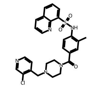 Cc1cc(C(=O)N2CCN(Cc3ccncc3Cl)CC2)ccc1NS(=O)(=O)c1cccc2cccnc12